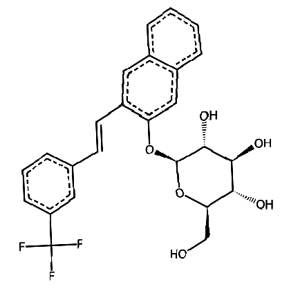 OC[C@H]1O[C@@H](Oc2cc3ccccc3cc2/C=C/c2cccc(C(F)(F)F)c2)[C@H](O)[C@@H](O)[C@@H]1O